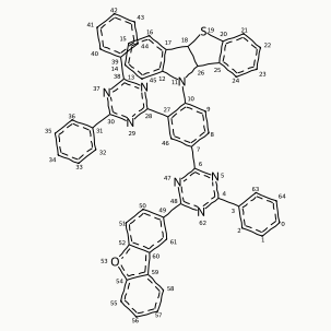 c1ccc(-c2nc(-c3ccc(N4c5ccccc5C5Sc6ccccc6C54)c(-c4nc(-c5ccccc5)nc(-c5ccccc5)n4)c3)nc(-c3ccc4oc5ccccc5c4c3)n2)cc1